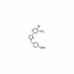 COc1ccc(Cn2ccc(-c3cc(C)c(Br)cn3)n2)cc1